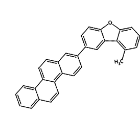 Cc1cccc2oc3ccc(-c4ccc5c(ccc6c7ccccc7ccc56)c4)cc3c12